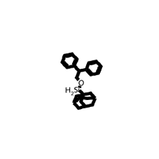 c1ccc(C(CO[SiH2]C23CC4CC(CC(C4)C2)C3)c2ccccc2)cc1